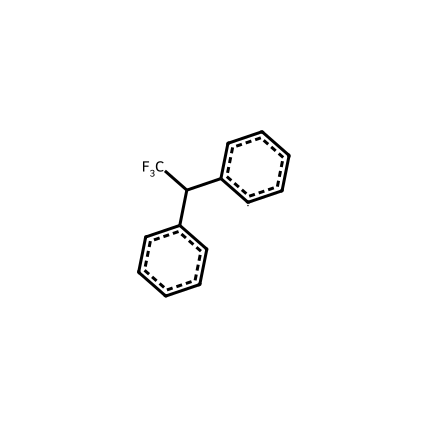 FC(F)(F)C(c1[c]cccc1)c1ccccc1